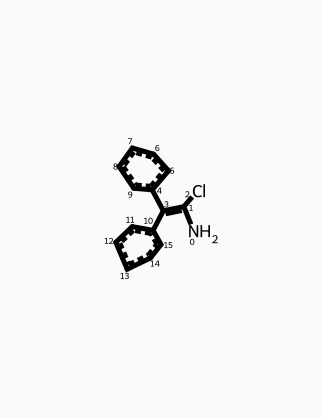 NC(Cl)=C(c1ccccc1)c1ccccc1